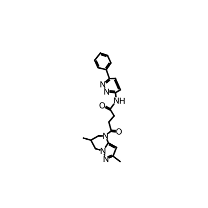 Cc1cc2n(n1)CC(C)CN2C(=O)CCC(=O)Nc1ccc(-c2ccccc2)nn1